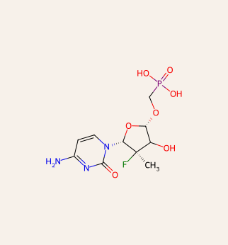 C[C@@]1(F)C(O)[C@@H](OCP(=O)(O)O)O[C@H]1n1ccc(N)nc1=O